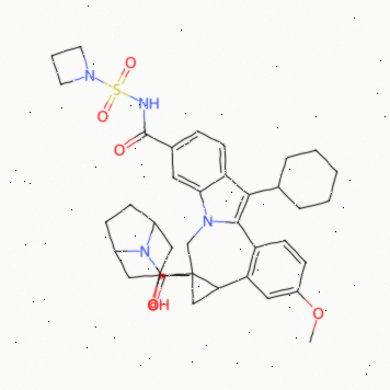 COc1ccc2c(c1)C1CC1(C(=O)N1C3CCC1CC(C)(O)C3)Cn1c-2c(C2CCCCC2)c2ccc(C(=O)NS(=O)(=O)N3CCC3)cc21